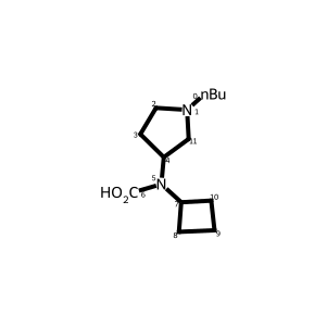 CCCCN1CCC(N(C(=O)O)C2CCC2)C1